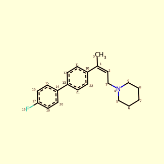 CC(=CCN1CCCCC1)c1ccc(-c2ccc(F)cc2)cc1